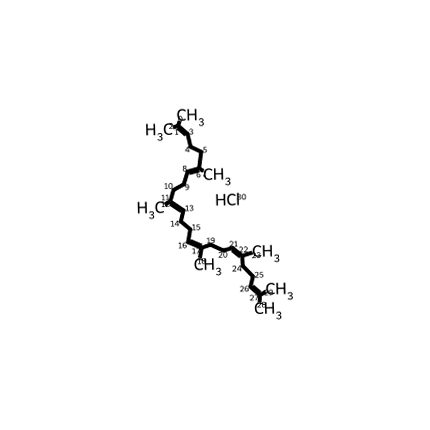 CC(C)=CCCC(C)=CCCC(C)=CCCC=C(C)CCC=C(C)CCC=C(C)C.Cl